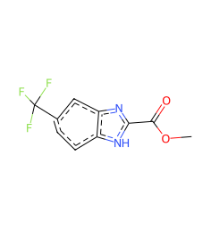 COC(=O)c1nc2cc(C(F)(F)F)ccc2[nH]1